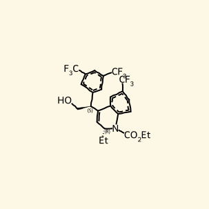 CCOC(=O)N1c2ccc(C(F)(F)F)cc2C([C@@H](CO)c2cc(C(F)(F)F)cc(C(F)(F)F)c2)=C[C@H]1CC